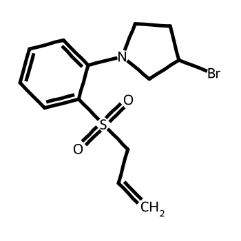 C=CCS(=O)(=O)c1ccccc1N1CCC(Br)C1